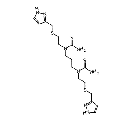 NC(=S)N(CCCN(CCSCc1cc[nH]n1)C(N)=S)CCSCc1cc[nH]n1